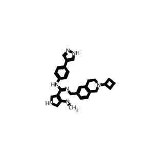 C=NC1=C(/C(=N\Cc2ccc3c(c2)CCN(C2CCC2)C3)Nc2ccc(-c3cn[nH]c3)cc2)CNC1